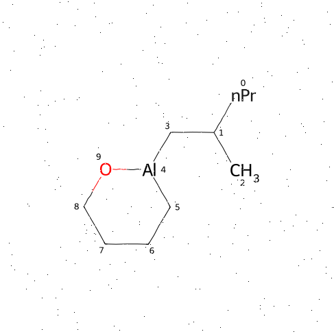 CCCC(C)[CH2][Al]1[CH2]CCC[O]1